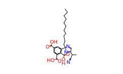 CCCCCCCCCCCC1(c2cc(C(=O)O)cc(C(=O)O)c2C(=O)O)N=CC(C(C)C#N)=N1